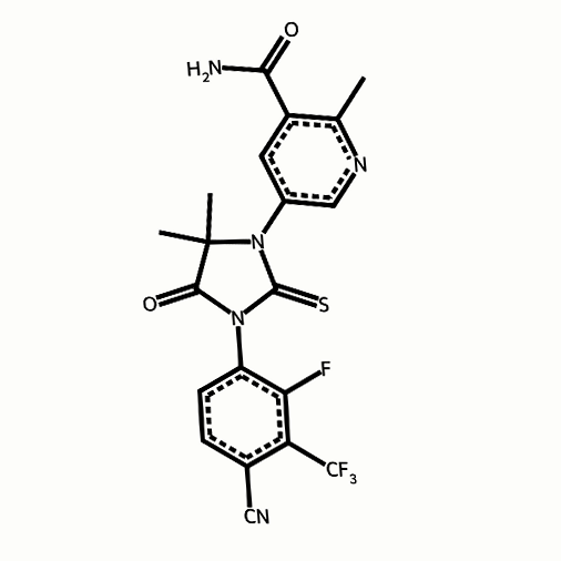 Cc1ncc(N2C(=S)N(c3ccc(C#N)c(C(F)(F)F)c3F)C(=O)C2(C)C)cc1C(N)=O